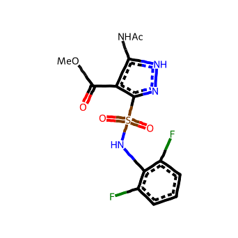 COC(=O)c1c(S(=O)(=O)Nc2c(F)cccc2F)n[nH]c1NC(C)=O